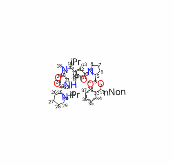 CCCCCCCCC[C@H](OC(=O)[C@@H]1CCCN1C(=O)/C(C)=C/[C@H](C(C)C)N(C)C(=O)[C@@H](NC(=O)[C@H]1CCCCN1C(C)C)C(C)C)c1ccccc1